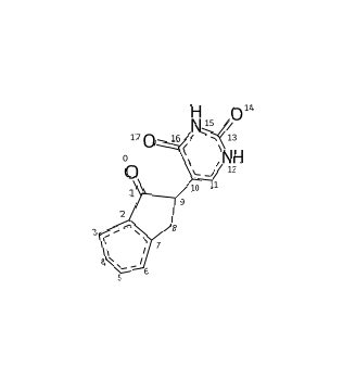 O=C1c2ccccc2CC1c1c[nH]c(=O)[nH]c1=O